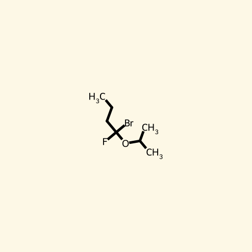 CCCC(F)(Br)OC(C)C